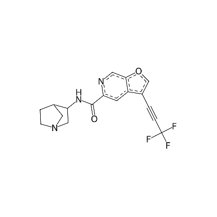 O=C(NC1CN2CCC1C2)c1cc2c(C#CC(F)(F)F)coc2cn1